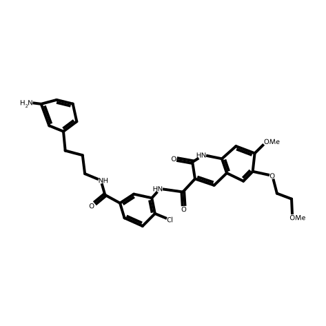 COCCOc1cc2cc(C(=O)Nc3cc(C(=O)NCCCc4cccc(N)c4)ccc3Cl)c(=O)[nH]c2cc1OC